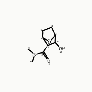 CN(C)C(=O)[C@H]1C2CCC(O2)C1O